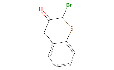 O=C1Cc2ccccc2SC1Br